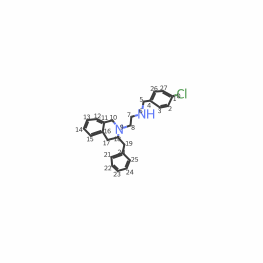 Clc1ccc(CNCCN2Cc3ccccc3CC2Cc2ccccc2)cc1